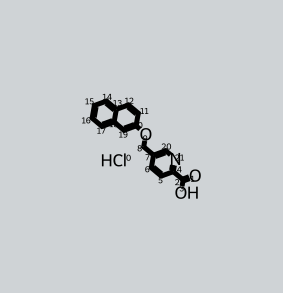 Cl.O=C(O)c1ccc(COc2ccc3ccccc3c2)cn1